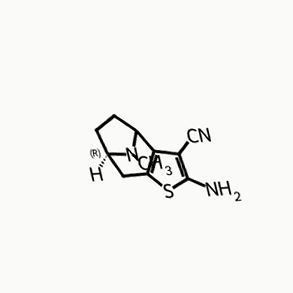 CN1C2CC[C@@H]1Cc1sc(N)c(C#N)c12